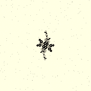 CCCC(C(=O)OCCOCC1CO1)N1C(=O)c2cc(Oc3ccc(C(C)(C)C)cc3)c3c4c(Oc5ccc(C(C)(C)C)cc5)cc5c6c(cc(Oc7ccc(C(C)(C)C)cc7)c(c7c(Oc8ccc(C(C)(C)C)cc8)cc(c2c37)C1=O)c64)C(=O)N(C(CCC)C(=O)OCCOCC1CO1)C5=O